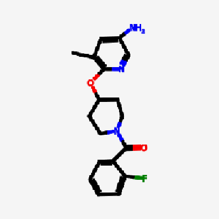 Cc1cc(N)cnc1OC1CCN(C(=O)c2ccccc2F)CC1